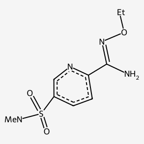 CCON=C(N)c1ccc(S(=O)(=O)NC)cn1